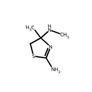 CNC1(C)CSC(N)=N1